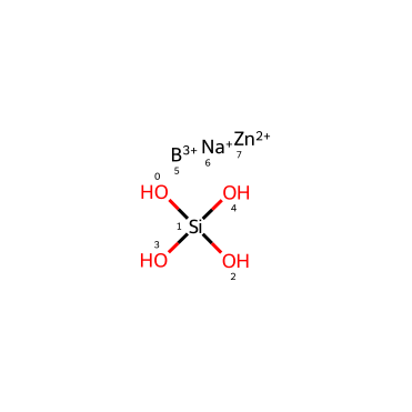 O[Si](O)(O)O.[B+3].[Na+].[Zn+2]